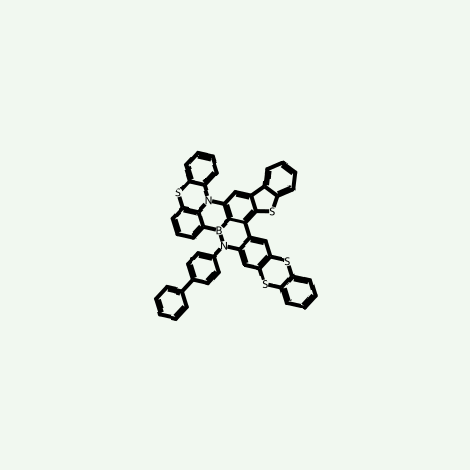 c1ccc(-c2ccc(N3B4c5cccc6c5N(c5ccccc5S6)c5cc6c(sc7ccccc76)c(c54)-c4cc5c(cc43)Sc3ccccc3S5)cc2)cc1